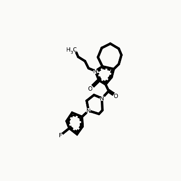 CCCCn1c2c(cc(C(=O)N3CCN(c4ccc(F)cc4)CC3)c1=O)CCCCCC2